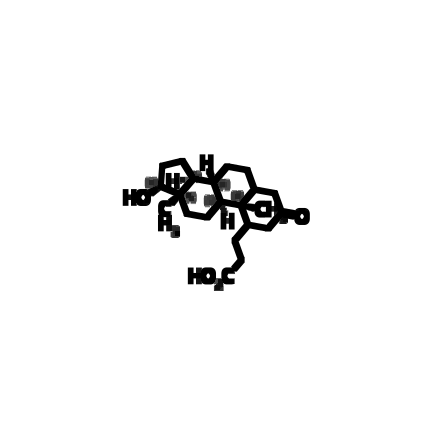 C[C@]12C(CCC(=O)O)CC(=O)CC1CC[C@@H]1[C@@H]2CC[C@]2(C)[C@@H](O)CC[C@@H]12